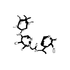 CC(NC(=O)Cn1ncc(N[C@@H]2C[C@H](C)C(C)(C)[C@H](C)[C@H]2C)c(Cl)c1=O)c1ccnc(F)c1Cl